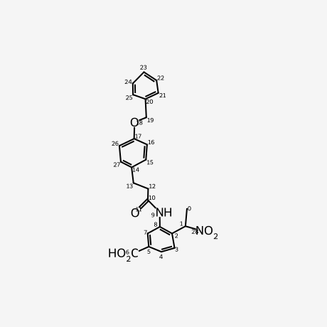 CC(c1ccc(C(=O)O)cc1NC(=O)CCc1ccc(OCc2ccccc2)cc1)[N+](=O)[O-]